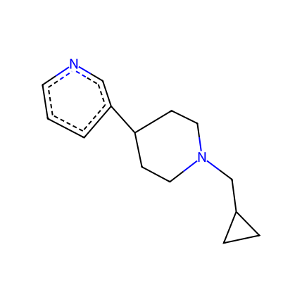 c1cncc(C2CCN(CC3CC3)CC2)c1